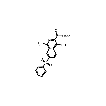 COC(=O)c1nc(C)c2cc(S(=O)(=O)c3ccccc3)ccc2c1O